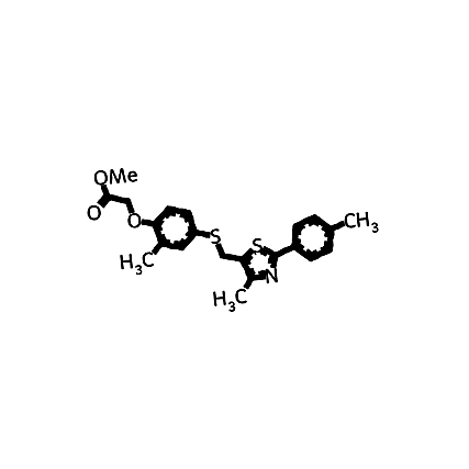 COC(=O)COc1ccc(SCc2sc(-c3ccc(C)cc3)nc2C)cc1C